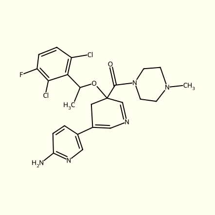 CC(OC1(C(=O)N2CCN(C)CC2)C=NC=C(c2ccc(N)nc2)C1)c1c(Cl)ccc(F)c1Cl